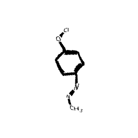 C/N=N/c1ccc(OCl)cc1